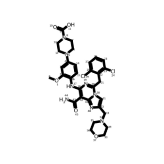 COc1cc(N2CCN(C(=O)O)CC2)ccc1Nc1nc(Cc2c(Cl)cccc2Cl)n2cc(CN3CCOCC3)nc2c1C(N)=O